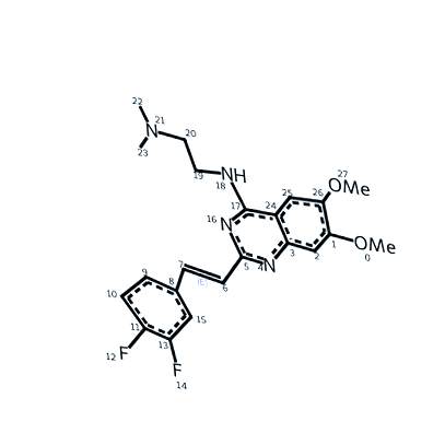 COc1cc2nc(/C=C/c3ccc(F)c(F)c3)nc(NCCN(C)C)c2cc1OC